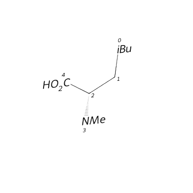 CCC(C)C[C@H](NC)C(=O)O